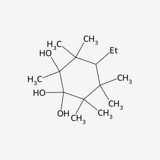 CCC1C(C)(C)C(C)(C)C(O)(O)C(C)(O)C1(C)C